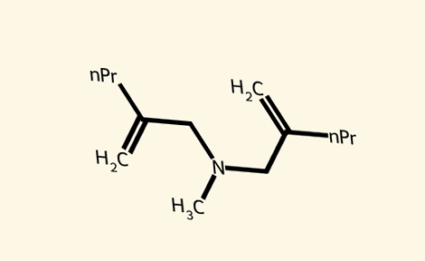 C=C(CCC)CN(C)CC(=C)CCC